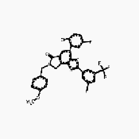 COc1ccc(CN2Cc3c(cc(-c4cc(F)ccc4Cl)c4oc(-c5cc(F)cc(C(F)(F)F)c5)nc34)C2=O)cc1